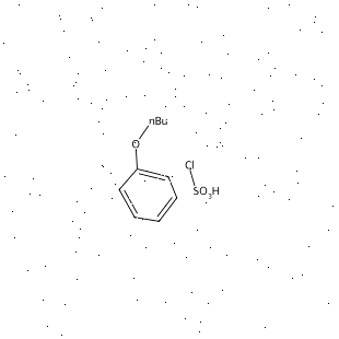 CCCCOc1ccccc1.O=S(=O)(O)Cl